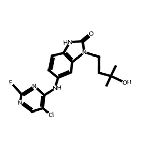 CC(C)(O)CCn1c(=O)[nH]c2ccc(Nc3nc(F)ncc3Cl)cc21